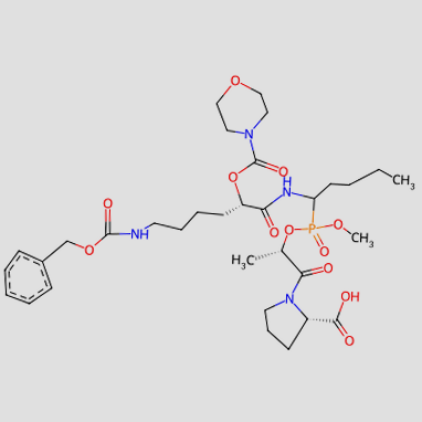 CCCCC(NC(=O)[C@H](CCCCNC(=O)OCc1ccccc1)OC(=O)N1CCOCC1)P(=O)(OC)O[C@@H](C)C(=O)N1CCC[C@H]1C(=O)O